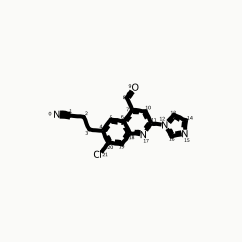 N#CCCc1cc2c(C=O)cc(-n3ccnc3)nc2cc1Cl